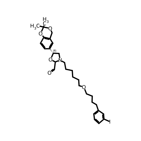 CC1(C)OCc2cc([C@@H]3CN(CCCCCCOCCCCc4cccc(I)c4)C(C=O)O3)ccc2O1